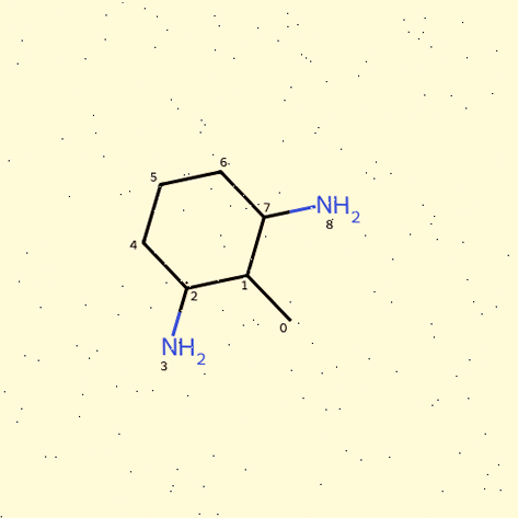 CC1[C](N)CCCC1N